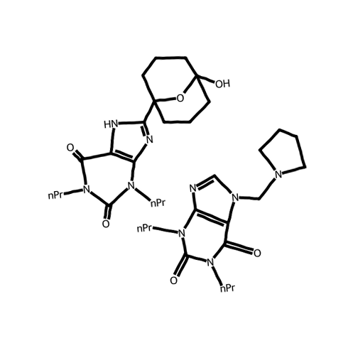 CCCn1c(=O)c2[nH]c(C34CCCC(O)(CCC3)O4)nc2n(CCC)c1=O.CCCn1c(=O)c2c(ncn2CN2CCCC2)n(CCC)c1=O